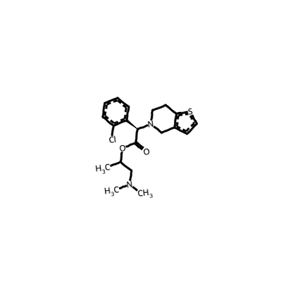 CC(CN(C)C)OC(=O)[C@@H](c1ccccc1Cl)N1CCc2sccc2C1